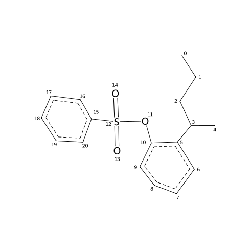 CCCC(C)c1ccccc1OS(=O)(=O)c1ccccc1